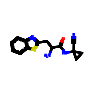 N#CC1(NC(=O)C(N)Cc2nc3ccccc3s2)CC1